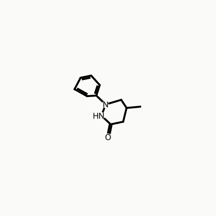 CC1CC(=O)NN(c2ccccc2)C1